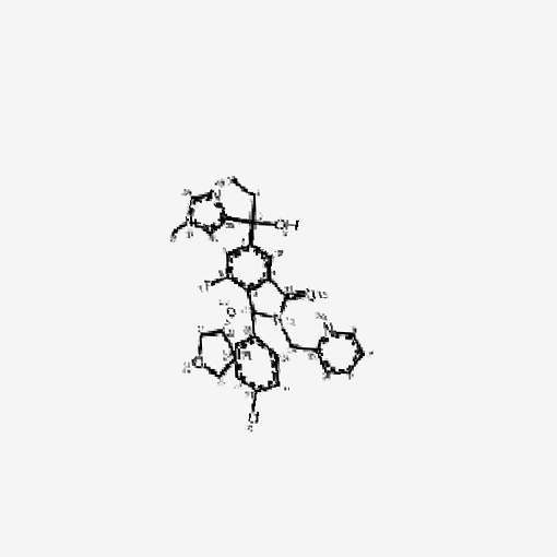 CCC(O)(c1cc(F)c2c(c1)C(=O)N(Cc1ccccn1)[C@@]2(O[C@@H]1CCOC1)c1ccc(Cl)cc1)c1cn(C)cn1